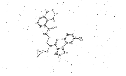 Cc1nc(C(=O)N(CCNC(=O)c2cccc3c2OCCO3)CC2CC2)c(-c2cccc(C(F)(F)F)c2)s1